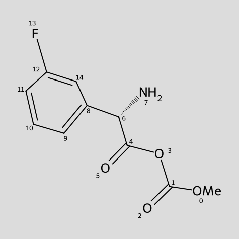 COC(=O)OC(=O)[C@@H](N)c1cccc(F)c1